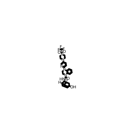 O=C(NC1[C@@H]2CC3C[C@H]1CC(O)(C3)C2)N1CCN(c2ccc(N3CCN(S(=O)(=O)C(F)(F)F)CC3)cn2)c2ccccc21